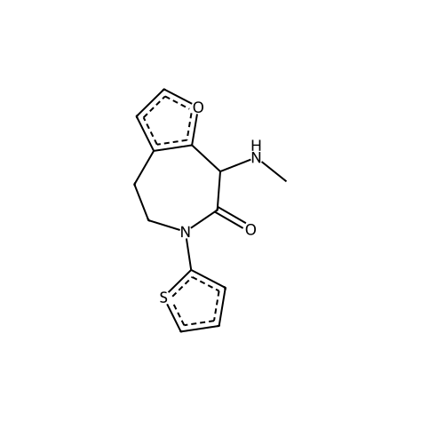 CNC1C(=O)N(c2cccs2)CCc2ccoc21